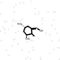 CC(=O)O[C@@H]1C/C(=N/O)C(C)[C@@H](OC(C)=O)C1